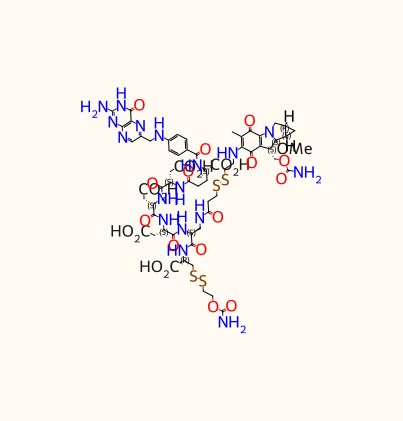 CO[C@@]12[C@H](COC(N)=O)C3=C(C(=O)C(C)=C(NCCSSCCC(=O)NC[C@H](NC(=O)[C@H](CC(=O)O)NC(=O)[C@H](CC(=O)O)NC(=O)[C@H](CC(=O)O)NC(=O)CC[C@H](NC(=O)c4ccc(NCc5cnc6nc(N)[nH]c(=O)c6n5)cc4)C(=O)O)C(=O)N[C@@H](CSSCCOC(N)=O)C(=O)O)C3=O)N1C[C@@H]1C[C@@H]12